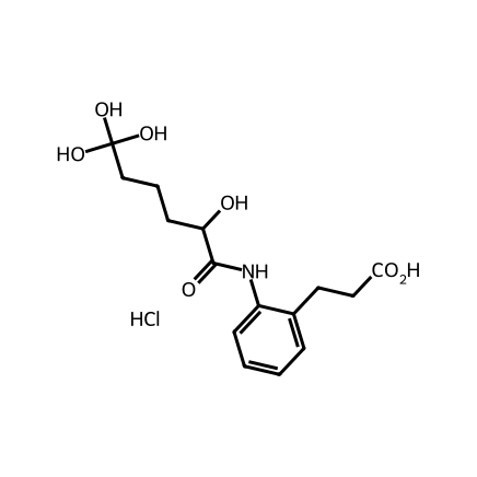 Cl.O=C(O)CCc1ccccc1NC(=O)C(O)CCCC(O)(O)O